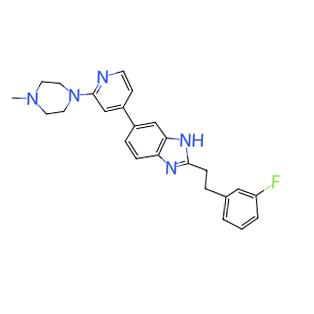 CN1CCN(c2cc(-c3ccc4nc(CCc5cccc(F)c5)[nH]c4c3)ccn2)CC1